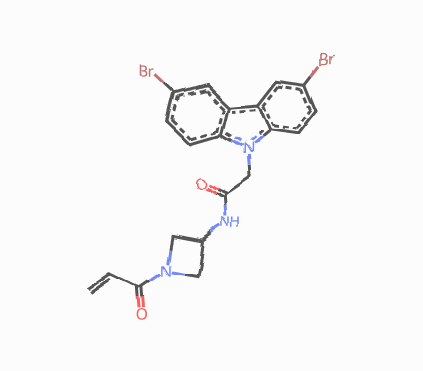 C=CC(=O)N1CC(NC(=O)Cn2c3ccc(Br)cc3c3cc(Br)ccc32)C1